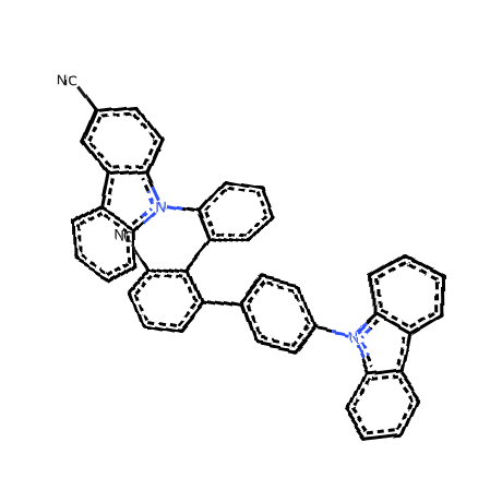 N#Cc1ccc2c(c1)c1ccccc1n2-c1ccccc1-c1c(C#N)cccc1-c1ccc(-n2c3ccccc3c3ccccc32)cc1